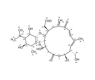 CC[C@H]1OC(=O)C[C@@H](O)[C@H](C)C(O[C@@H]2O[C@H](C)[C@@H](O)C(N(C)C)C2O)[C@@H](CC=O)C[C@@H](C)C(=O)/C=C/C(C)=C/[C@@H]1CO